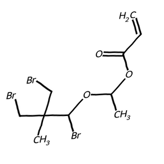 C=CC(=O)OC(C)OC(Br)C(C)(CBr)CBr